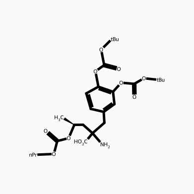 CCCOC(=O)O[C@@H](C)CC(N)(Cc1ccc(OC(=O)OC(C)(C)C)c(OC(=O)OC(C)(C)C)c1)C(=O)O